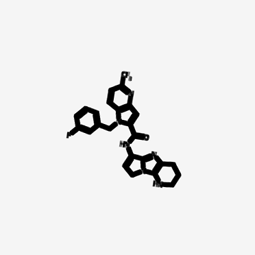 O=C(NC1=CCn2c1nc1c2NCCC1)c1cc2nc(C(F)(F)F)ccc2n1Cc1cccc(F)c1